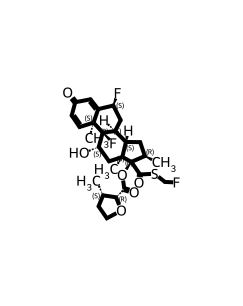 C[C@@H]1C[C@H]2[C@@H]3C[C@H](F)C4=CC(=O)C=C[C@]4(C)[C@@]3(F)[C@@H](O)C[C@]2(C)[C@@]1(OC(=O)[C@@H]1OCC[C@@H]1C)C(=O)SCF